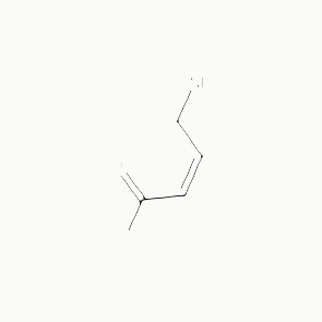 [NH]C/C=C\C(=O)O